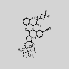 CC(C)(C)[Si](C)(C)O[C@@H]1C[C@@H](C(=O)N(c2cccc(C#N)c2)C(C(=O)NC2CC(F)(F)C2)c2ccccc2Cl)NC1=O